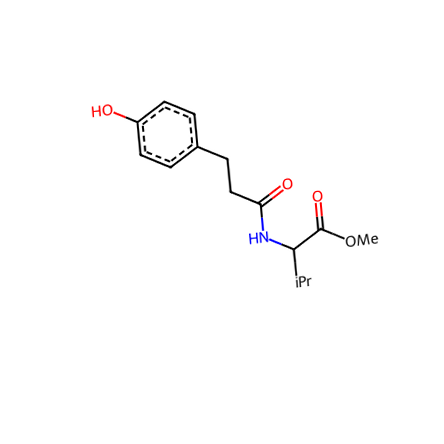 COC(=O)C(NC(=O)CCc1ccc(O)cc1)C(C)C